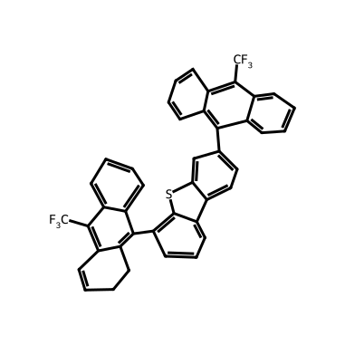 FC(F)(F)c1c2c(c(-c3cccc4c3sc3cc(-c5c6ccccc6c(C(F)(F)F)c6ccccc56)ccc34)c3ccccc13)CCC=C2